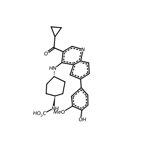 COc1cc(-c2ccc3ncc(C(=O)C4CC4)c(N[C@H]4CC[C@H](NC(=O)O)CC4)c3c2)ccc1O